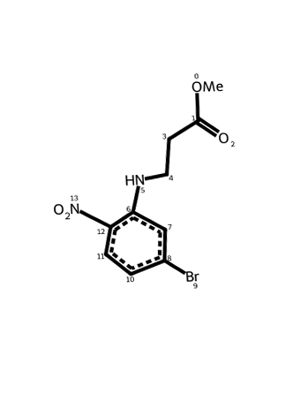 COC(=O)CCNc1cc(Br)ccc1[N+](=O)[O-]